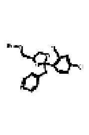 CC(C)(C)OCC1COC(Cc2ccncc2)(c2ccc(Cl)cc2Cl)O1